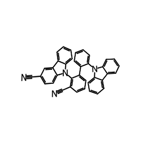 N#Cc1ccc2c(c1)c1ccccc1n2-c1c(C#N)cccc1-c1ccccc1-n1c2ccccc2c2ccccc21